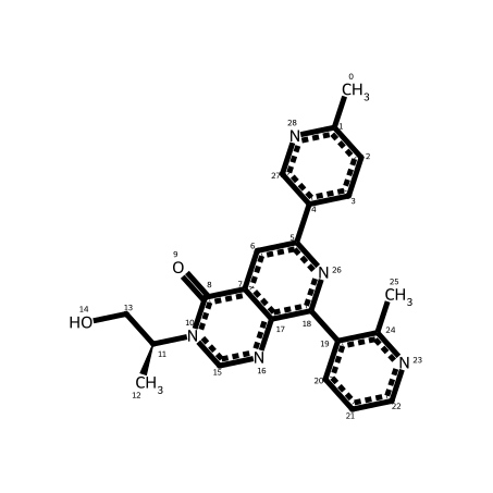 Cc1ccc(-c2cc3c(=O)n([C@@H](C)CO)cnc3c(-c3cccnc3C)n2)cn1